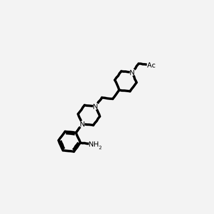 CC(=O)CN1CCC(CCN2CCN(c3ccccc3N)CC2)CC1